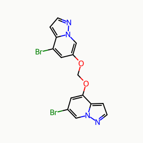 Brc1cc(OCOc2cc(Br)c3ccnn3c2)c2ccnn2c1